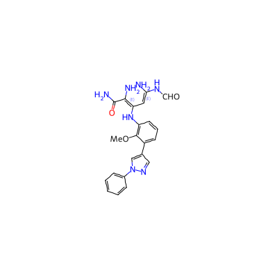 COc1c(NC(/C=C(\N)NC=O)=C(/N)C(N)=O)cccc1-c1cnn(-c2ccccc2)c1